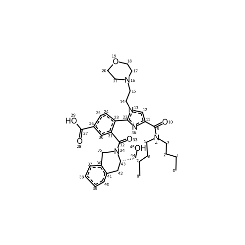 CCCCN(CCCC)C(=O)c1cn(CCN2CCOCC2)c(-c2ccc(C(=O)O)cc2C(=O)N2Cc3ccccc3C[C@H]2CO)n1